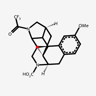 COc1ccc2c(c1)[C@]13CCN(C(=O)O)[C@H](C2)[C@]12CCC1C3[C@@H](CN1C(=O)C(F)(F)F)C2